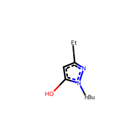 CCCCn1nc(CC)cc1O